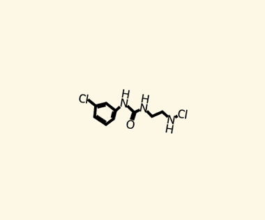 O=C(NCCNCl)Nc1cccc(Cl)c1